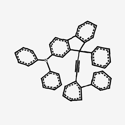 C(#CC1(c2ccccc2)c2ccccc2-c2ccc(N(c3ccccc3)c3ccccc3)cc21)c1ccccc1-c1ccccc1